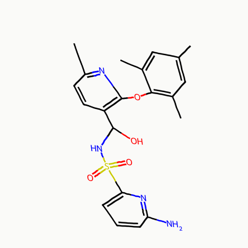 Cc1cc(C)c(Oc2nc(C)ccc2C(O)NS(=O)(=O)c2cccc(N)n2)c(C)c1